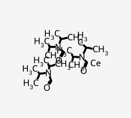 CC(C)N(C=O)C(C)C.CC(C)N(C=O)C(C)C.CC(C)N(C=O)C(C)C.[Ce]